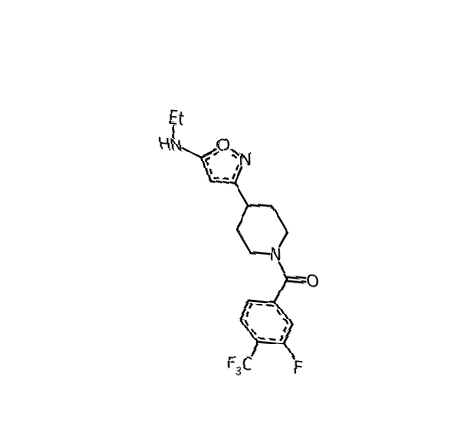 CCNc1cc(C2CCN(C(=O)c3ccc(C(F)(F)F)c(F)c3)CC2)no1